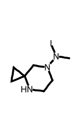 CN(I)N1CCNC2(CC2)C1